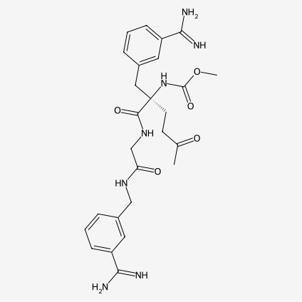 COC(=O)N[C@](CCC(C)=O)(Cc1cccc(C(=N)N)c1)C(=O)NCC(=O)NCc1cccc(C(=N)N)c1